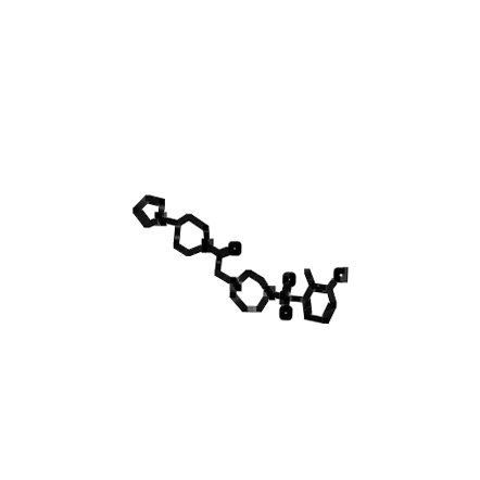 Cc1c(Cl)cccc1S(=O)(=O)N1CCCN(CC(=O)N2CCC(n3cccc3)CC2)CC1